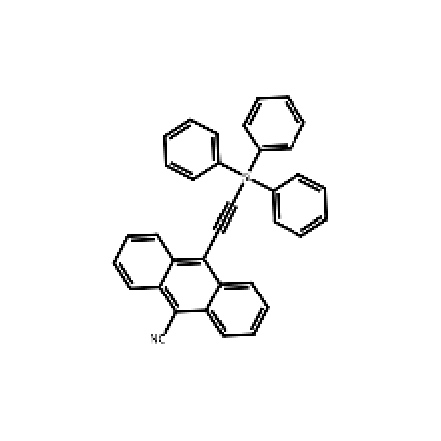 N#Cc1c2ccccc2c(C#C[Si](c2ccccc2)(c2ccccc2)c2ccccc2)c2ccccc12